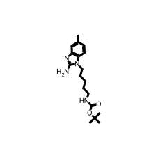 Cc1ccc2c(c1)nc(N)n2CCCCCNC(=O)OC(C)(C)C